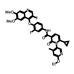 CCOc1cc(C)c(-n2c(C3CC3)ccc(C(=O)Nc3ccc(Oc4c(F)cnc5cc(OC)c(OC)cc45)c(F)c3)c2=O)cn1